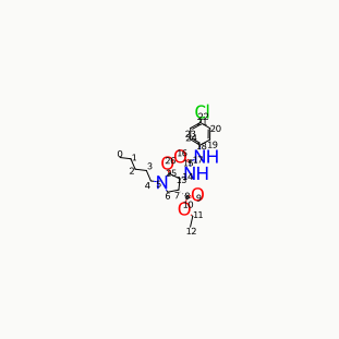 CCCCCN1C[C@@H](C(=O)OCC)[C@@H](NC(=O)Nc2ccc(Cl)cc2)C1=O